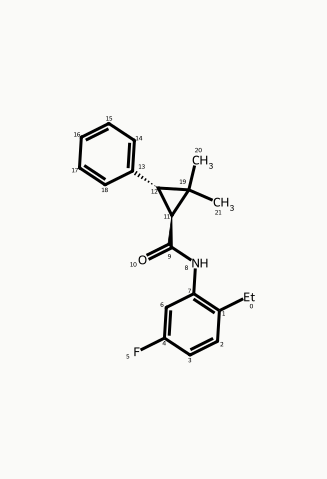 CCc1ccc(F)cc1NC(=O)[C@H]1[C@H](c2ccccc2)C1(C)C